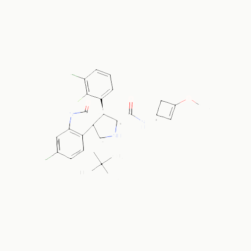 COC1=C[C@H](NC(=O)[C@@H]2N[C@H](CC(C)(C)C)[C@]3(C(=O)Nc4cc(Cl)ccc43)[C@H]2c2cccc(Cl)c2F)C1